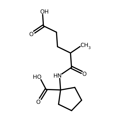 CC(CCC(=O)O)C(=O)NC1(C(=O)O)CCCC1